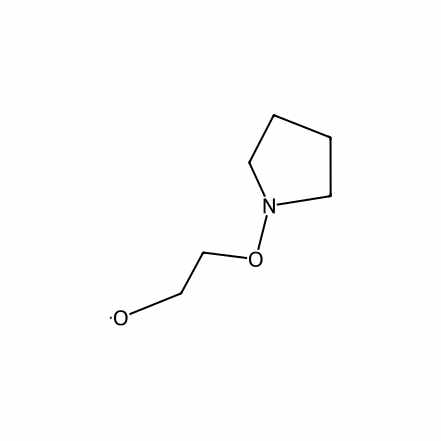 [O]CCON1CCCC1